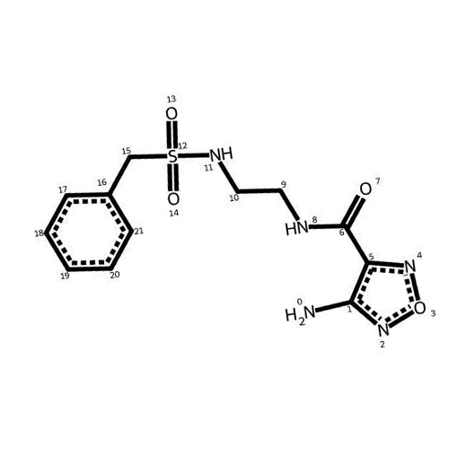 Nc1nonc1C(=O)NCCNS(=O)(=O)Cc1ccccc1